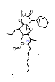 CCCCCC/C(OC=O)=C(\C)C(=O)N(C)C(CCC)C(=O)NC(C(N)=O)C1CC2CCC1C2